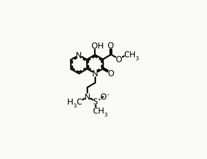 COC(=O)c1c(O)c2ncccc2n(CCN(C)[S+](C)[O-])c1=O